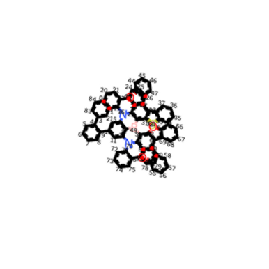 c1ccc(-c2ccccc2-c2cc3c4c(c2)N(c2ccccc2-c2ccccc2)c2c(c5sc6ccccc6c5c5c2oc2ccccc25)B4c2c(c4oc5ccccc5c4c4c2oc2ccccc24)N3c2ccccc2-c2ccccc2)cc1